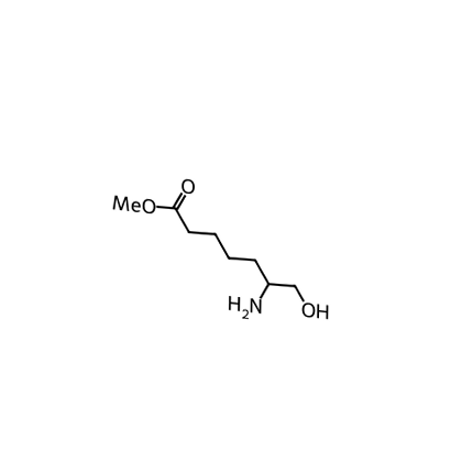 COC(=O)CCCCC(N)CO